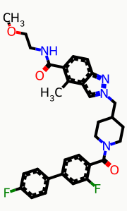 COCCNC(=O)c1ccc2nn(CC3CCN(C(=O)c4ccc(-c5ccc(F)cc5)cc4F)CC3)cc2c1C